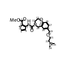 COC(=O)c1sccc1NC(=O)N1CCOc2ccc(COCCN(C)C)cc2C1